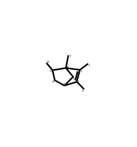 CC1=C(C)C2(C)CC1CC2C